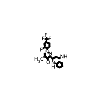 Cc1cn(-c2ccc(C(F)(F)F)cc2F)nc(/C(=C/C=N)Nc2ccccc2)c1=O